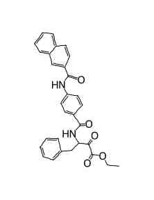 CCOC(=O)C(=O)C(Cc1ccccc1)NC(=O)c1ccc(NC(=O)c2ccc3ccccc3c2)cc1